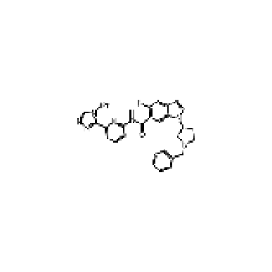 CC(C)n1cnnc1-c1cccc(NC(=O)c2cc3c(ccn3C3CCN(Cc4ccccc4)C3)cc2F)n1